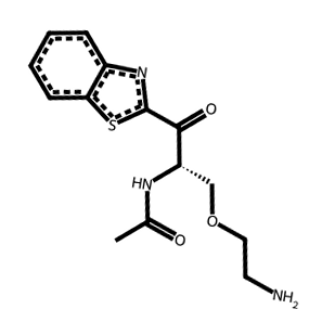 CC(=O)N[C@@H](COCCN)C(=O)c1nc2ccccc2s1